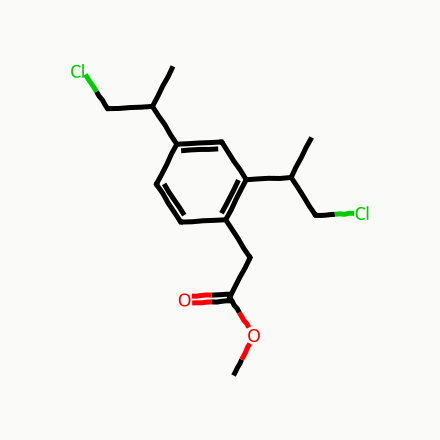 COC(=O)Cc1ccc(C(C)CCl)cc1C(C)CCl